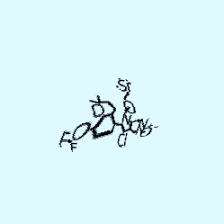 CC1(C)C=Cc2c(-c3c(Cl)c4c[n+]([O-])ncc4n3COCC[Si](C)(C)C)ccc(OC(F)F)c2O1